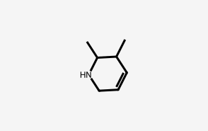 CC1C=CCNC1C